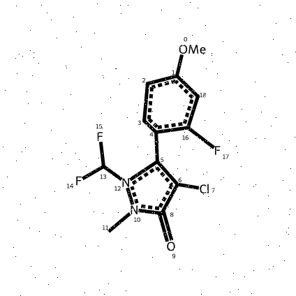 COc1ccc(-c2c(Cl)c(=O)n(C)n2C(F)F)c(F)c1